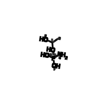 CC(O)O.NP(O)O